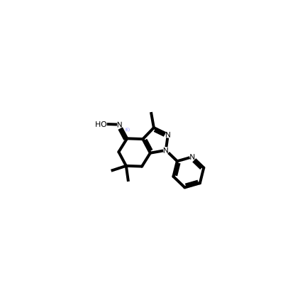 Cc1nn(-c2ccccn2)c2c1/C(=N/O)CC(C)(C)C2